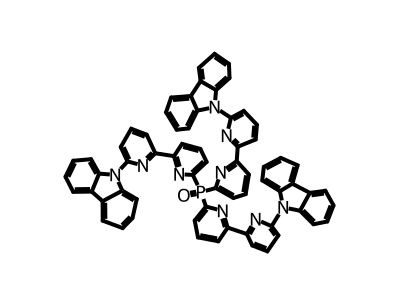 O=P(c1cccc(-c2cccc(-n3c4ccccc4c4ccccc43)n2)n1)(c1cccc(-c2cccc(-n3c4ccccc4c4ccccc43)n2)n1)c1cccc(-c2cccc(-n3c4ccccc4c4ccccc43)n2)n1